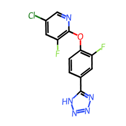 Fc1cc(-c2nnn[nH]2)ccc1Oc1ncc(Cl)cc1F